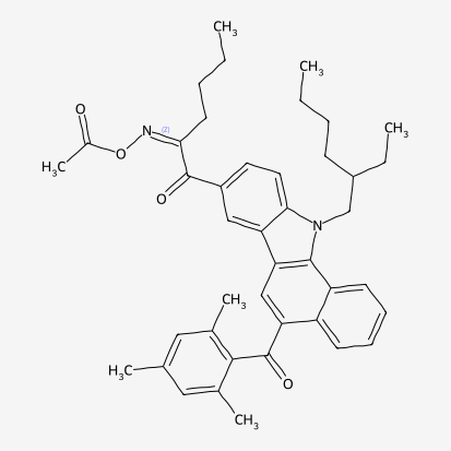 CCCC/C(=N/OC(C)=O)C(=O)c1ccc2c(c1)c1cc(C(=O)c3c(C)cc(C)cc3C)c3ccccc3c1n2CC(CC)CCCC